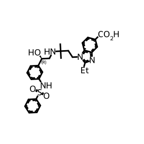 CCc1nc2cc(C(=O)O)ccc2n1CCC(C)(C)NC[C@H](O)c1cccc(NS(=O)(=O)c2ccccc2)c1